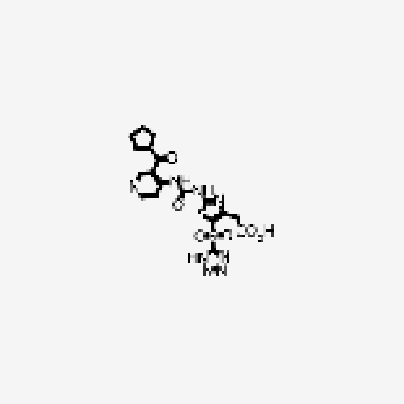 O=C(O)Cc1nc(NC(=O)Nc2ccncc2C(=O)C2CCCC2)sc1S(=O)(=O)c1nnn[nH]1